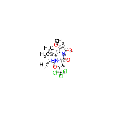 CCC(=O)N[C@H](CCC(Cl)(Cl)Cl)C(=O)N1C(=O)C=C(OC)[C@H]1CC(C)C